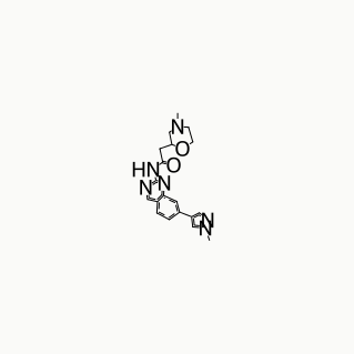 CN1CCOC(CC(=O)Nc2ncc3ccc(-c4cnn(C)c4)cc3n2)C1